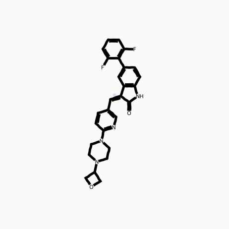 O=C1Nc2ccc(-c3c(F)cccc3F)cc2/C1=C/c1ccc(N2CCN(C3COC3)CC2)nc1